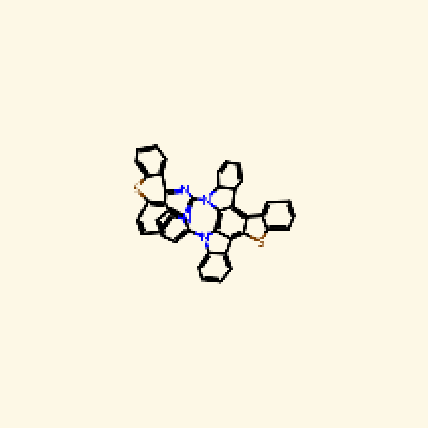 C1=CC2c3c(c4c(c5ccccc5n4-c4ccccc4)c4sc5ccccc5c34)N(c3nc4c5c(cccc5n3)Sc3ccccc3-4)C2C=C1